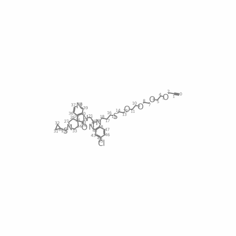 C#CCOCCOCCOCCOCCSCCCn1c(CN2C(=O)C3(CCN(SC4CC4)CC3)c3ccncc32)nc2cc(Cl)ccc21